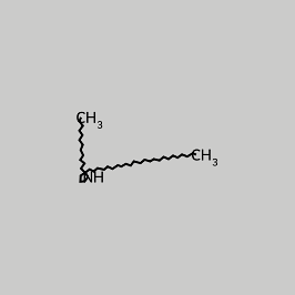 CCCCCCCCCCCCCCCCCCCCCCCCC1(CCCCCCCCCCCC)CCCN1